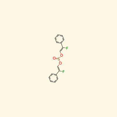 O=S(OC=C(F)c1ccccc1)OC=C(F)c1ccccc1